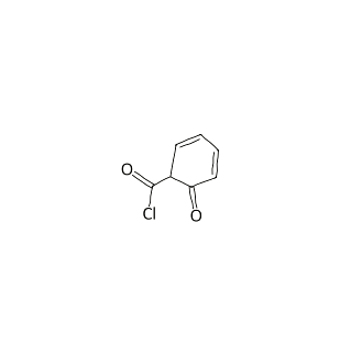 O=C(Cl)C1C=CC=CC1=O